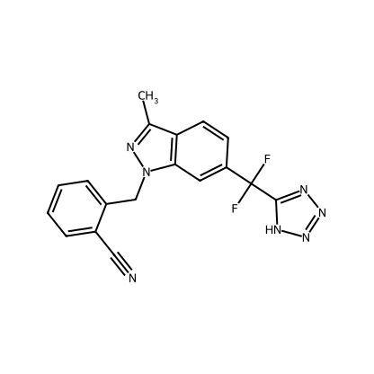 Cc1nn(Cc2ccccc2C#N)c2cc(C(F)(F)c3nnn[nH]3)ccc12